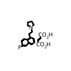 Fc1ccc2c(CCN3CCCC3)cccc2c1.O=C(O)/C=C/C(=O)O